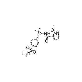 COc1ncccc1C(=O)NC1C(c2ccc(S(N)(=O)=O)cc2)C1(C)C